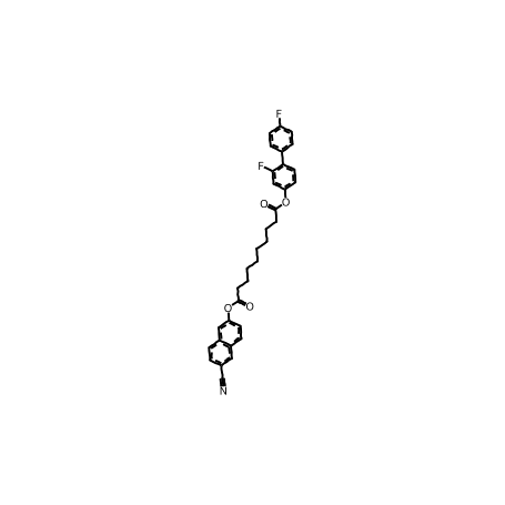 N#Cc1ccc2cc(OC(=O)CCCCCCCCC(=O)Oc3ccc(-c4ccc(F)cc4)c(F)c3)ccc2c1